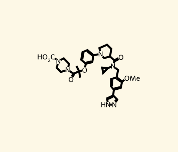 COc1cc(-c2cn[nH]c2)ccc1CN(C(=O)C1CCCN(c2cccc(OC(C)(C)C(=O)N3CCN(C(=O)O)CC3)c2)C1)C1CC1